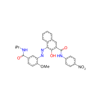 COc1ccc(C(=O)NC(C)C)cc1/N=N/c1c(O)c(C(=O)Nc2ccc([N+](=O)[O-])cc2)cc2ccccc12